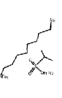 CC(C)S(=O)(=O)O.CCCCCCCCCCCCCCCCCC[NH-].[Na+]